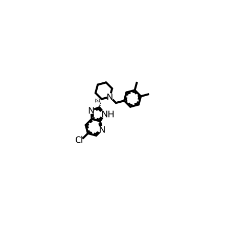 Cc1ccc(CN2CCCC[C@H]2c2nc3cc(Cl)cnc3[nH]2)cc1C